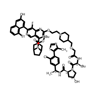 CCc1cccc2cc(O)cc(-c3ncc4c(N5CC6CCC(C5)N6C(=O)OC(C)(C)C)nc(OCCN5CCC(COCC(=O)N[C@H](C(=O)N6C[C@H](O)C[C@H]6C(=O)N[C@@H](C)c6ccc(-c7scnc7C)c(Cl)c6)C(C)(C)C)CC5)nc4c3F)c12